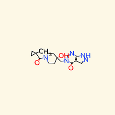 CC1(C(=O)N2CCC(O)(Cn3cnc4[nH]ncc4c3=O)CC2)CC1